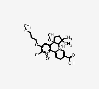 COCCCOc1cc2c([n+]([O-])c1Cl)C1=CCC(C(=O)O)=CN1[C@@H]1C(C)(C)CC[C@]21OC